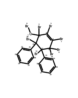 BrOC1(Br)C(Br)=C(Br)C(Br)(Br)C(Br)(c2ccccc2)C1(Br)c1ccccc1